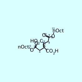 CCCCCCCCOC(=O)C/C(C(=O)O)=C(/CC(=O)OCCCCCCCC)C(=O)O